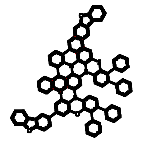 c1ccc(-c2ccc3c(c2-c2ccccc2)Oc2cc(-c4ccc5oc6ccccc6c5c4)cc4c2B3c2cc3c(cc2N4c2ccccc2)N(c2c(-c4ccccc4)cccc2-c2ccccc2)c2cc(-c4ccc5oc6ccccc6c5c4)cc4c2B3c2ccc(-c3ccccc3)c(-c3ccccc3)c2S4)cc1